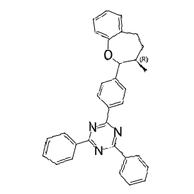 C[C@@H]1CCc2ccccc2OC1c1ccc(-c2nc(-c3ccccc3)nc(-c3ccccc3)n2)cc1